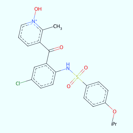 Cc1c(C(=O)c2cc(Cl)ccc2NS(=O)(=O)c2ccc(OC(C)C)cc2)ccc[n+]1O